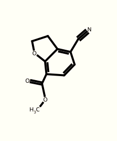 COC(=O)c1ccc(C#N)c2c1OCC2